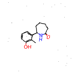 Cc1c(O)cccc1C1CCCCC(=O)N1